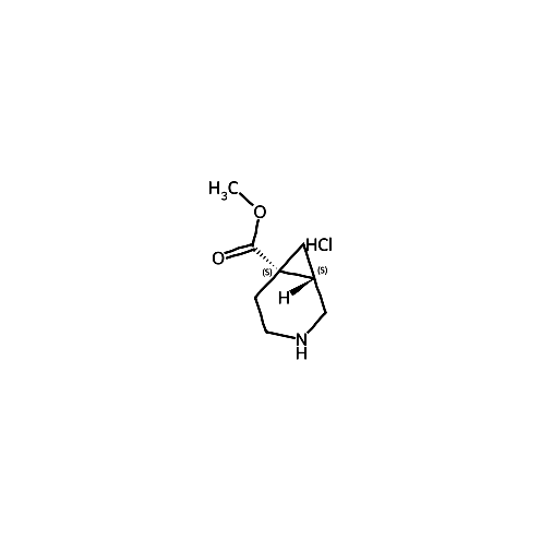 COC(=O)[C@@]12CCNC[C@H]1C2.Cl